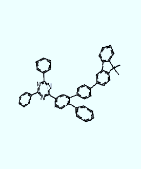 CC1(C)c2ccccc2-c2cc(-c3ccc(-c4cc(-c5nc(-c6ccccc6)nc(-c6ccccc6)n5)ccc4-c4ccccc4)cc3)ccc21